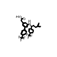 CC(C)CCC(Nc1cc(CC(=O)O)cc(-c2ccc(C(F)(F)F)cc2)c1)c1ccc(C(F)(F)F)cc1